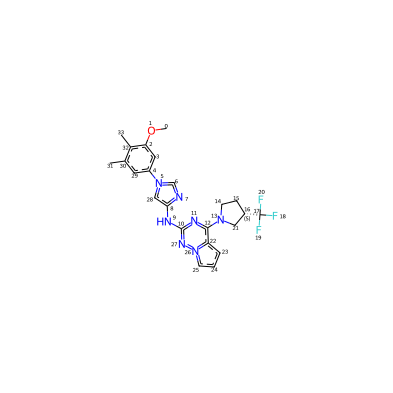 COc1cc(-n2cnc(Nc3nc(N4CC[C@H](C(F)(F)F)C4)c4cccn4n3)c2)cc(C)c1C